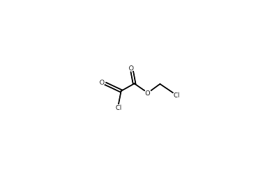 O=C(Cl)C(=O)OCCl